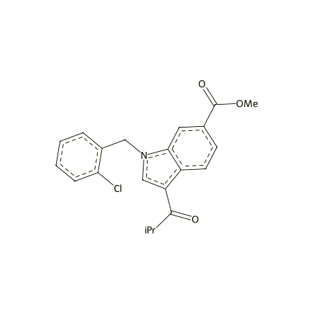 COC(=O)c1ccc2c(C(=O)C(C)C)cn(Cc3ccccc3Cl)c2c1